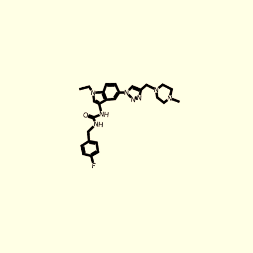 CCn1cc(NC(=O)NCc2ccc(F)cc2)c2cc(-n3cc(CN4CCN(C)CC4)nn3)ccc21